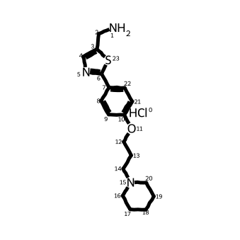 Cl.NCc1cnc(-c2ccc(OCCCN3CCCCC3)cc2)s1